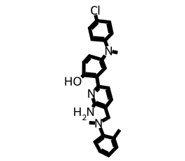 Cc1ccccc1N(C)Cc1ccc(-c2cc(N(C)c3ccc(Cl)cc3)ccc2O)nc1N